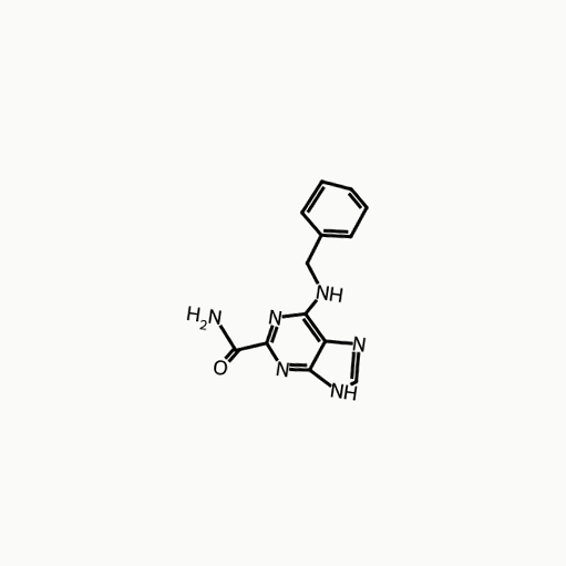 NC(=O)c1nc(NCc2ccccc2)c2nc[nH]c2n1